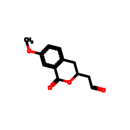 COc1ccc2c(c1)C(=O)OC(CC=O)C2